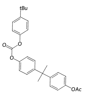 CC(=O)Oc1ccc(C(C)(C)c2ccc(OC(=O)Oc3ccc(C(C)(C)C)cc3)cc2)cc1